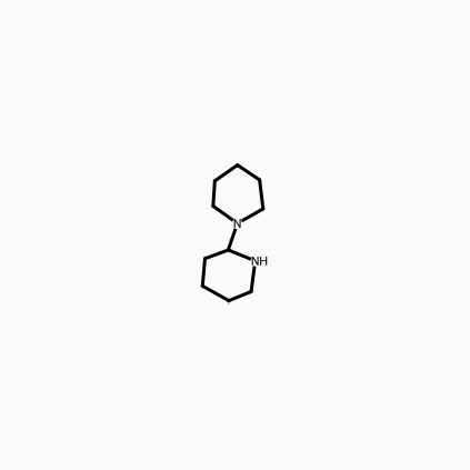 [CH]1CCC(N2CCCCC2)NC1